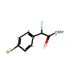 COC(=O)C(F)c1ccc(Br)cc1